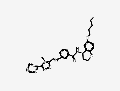 CCCCCOc1ccc2c(c1)[C@H](NC(=O)c1cccc(NCc3nnc(-c4ccncn4)n3C)c1)CCO2